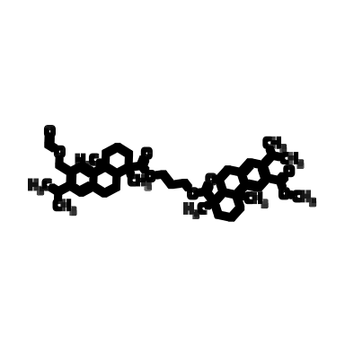 COC(=O)c1cc2c(cc1C(C)C)CCC1C(C)(C(=O)OCCCOC(=O)C3(C)CCCC4(C)c5cc(COC=O)c(C(C)C)cc5CCC34)CCCC21C